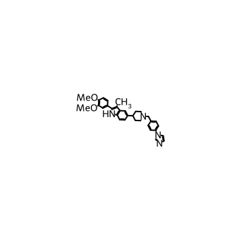 COc1ccc(-c2[nH]c3ccc(C4CCN(Cc5ccc(-n6ccnc6)cc5)CC4)cc3c2C)cc1OC